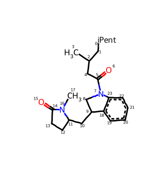 CCCC(C)CC(C)CC(=O)N1CC(CC2CCC(=O)N2C)c2ccccc21